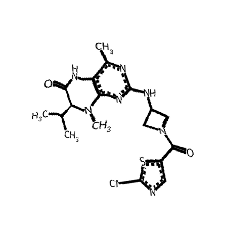 Cc1nc(NC2CN(C(=O)c3cnc(Cl)s3)C2)nc2c1NC(=O)[C@H](C(C)C)N2C